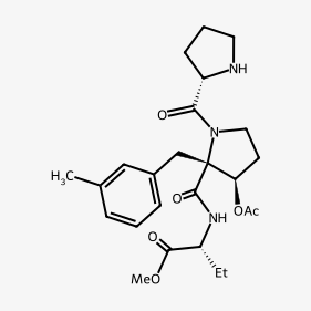 CC[C@@H](NC(=O)[C@@]1(Cc2cccc(C)c2)[C@H](OC(C)=O)CCN1C(=O)[C@@H]1CCCN1)C(=O)OC